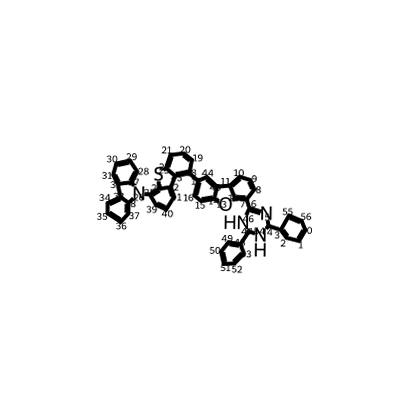 c1ccc(C2N=C(c3cccc4c3oc3ccc(-c5cccc6sc7c(-n8c9ccccc9c9ccccc98)cccc7c56)cc34)NC(c3ccccc3)N2)cc1